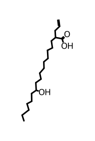 C=CCC(CCCCCCCCCC(O)CCCCCC)C(=O)O